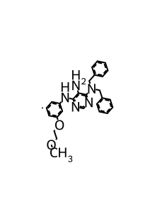 COCCOc1c[c]cc(Nc2ncnc(N(Cc3ccccc3)Cc3ccccc3)c2N)c1